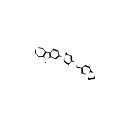 Cl.Cl.Cn1c2c(c3ccc(-n4ccc(OCc5ccc6nccn6c5)cc4=O)cc31)CNCC2